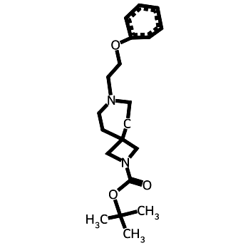 CC(C)(C)OC(=O)N1CC2(CCN(CCOc3ccccc3)CC2)C1